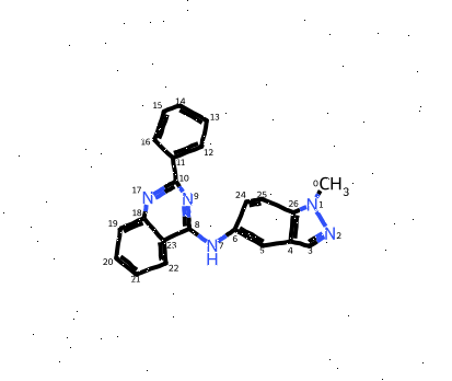 Cn1ncc2cc(Nc3nc(-c4ccccc4)nc4ccccc34)ccc21